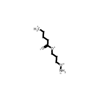 CCCCC(=O)OCCCON